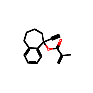 C#CC1(OC(=O)C(=C)C)CCCCc2ccccc21